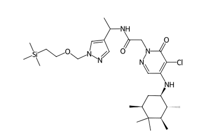 CC(NC(=O)Cn1ncc(N[C@@H]2C[C@H](C)C(C)(C)[C@H](C)[C@H]2C)c(Cl)c1=O)c1cnn(COCC[Si](C)(C)C)c1